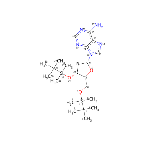 CC(C)(C)[Si](C)(C)OC[C@H]1O[C@@H](n2cnc3c(N)ncnc32)[CH][C@H]1O[Si](C)(C)C(C)(C)C